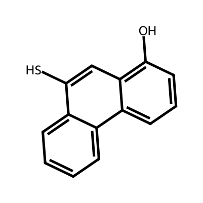 Oc1cccc2c1cc(S)c1ccccc12